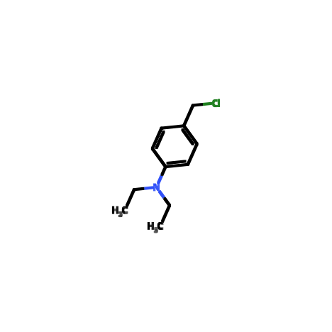 CCN(CC)c1ccc(CCl)cc1